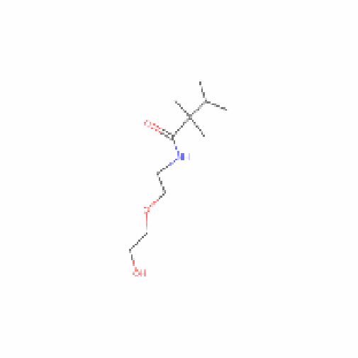 CC(C)C(C)(C)C(=O)NCCOCCO